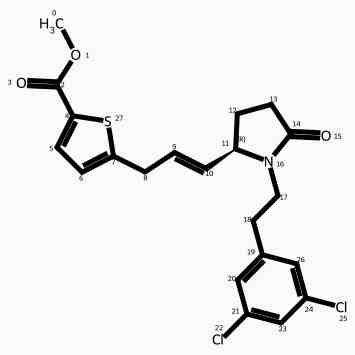 COC(=O)c1ccc(CC=C[C@H]2CCC(=O)N2CCc2cc(Cl)cc(Cl)c2)s1